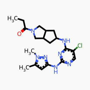 CCC(=O)N1CC2CC(Nc3nc(Nc4cc(C)n(C)n4)ncc3Cl)CC2C1